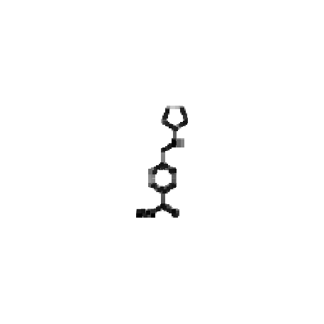 CNC(=O)c1ccc(CNC2CCCC2)cc1